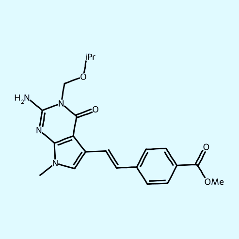 COC(=O)c1ccc(C=Cc2cn(C)c3nc(N)n(COC(C)C)c(=O)c23)cc1